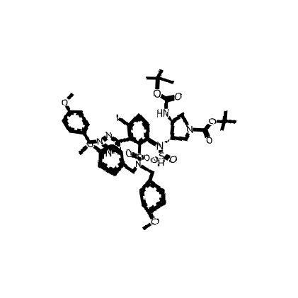 COc1ccc(CN(Cc2ccc(OC)cc2)S(=O)(=O)c2c(N([C@H]3CN(C(=O)OC(C)(C)C)C[C@@H]3NC(=O)OC(C)(C)C)[SH](=O)=O)ccc(I)c2-c2nnn(Cc3ccc(OC)cc3)n2)cc1